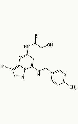 CC[C@@H](CO)Nc1cc(NCc2ccc(C)cc2)n2ncc(C(C)C)c2n1